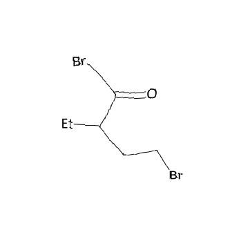 CCC(CCBr)C(=O)Br